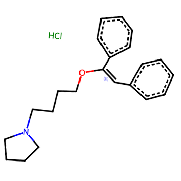 C(=C(\OCCCCN1CCCC1)c1ccccc1)/c1ccccc1.Cl